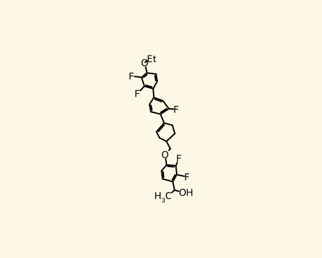 CCOc1ccc(-c2ccc(C3=CCC(COc4ccc(C(C)O)c(F)c4F)CC3)c(F)c2)c(F)c1F